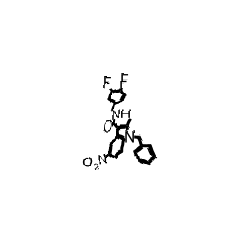 Cc1c(C(=O)NCc2ccc(F)c(F)c2)c2cc([N+](=O)[O-])ccc2n1Cc1ccccc1